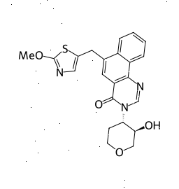 COc1ncc(Cc2cc3c(=O)n([C@H]4CCOC[C@@H]4O)cnc3c3ccccc23)s1